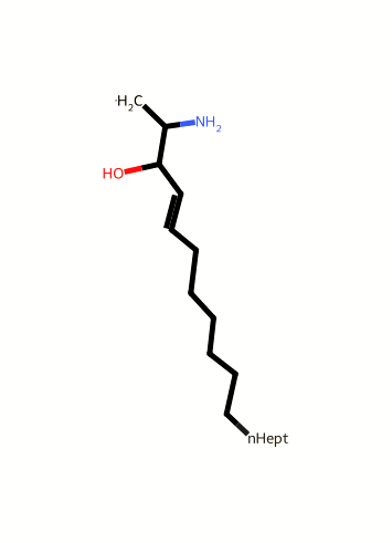 [CH2]C(N)C(O)C=CCCCCCCCCCCCCC